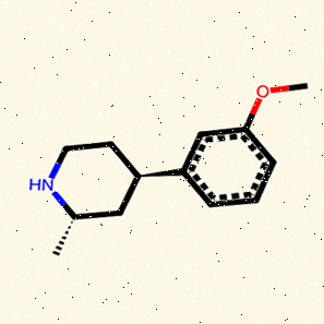 COc1cccc([C@@H]2CCN[C@@H](C)C2)c1